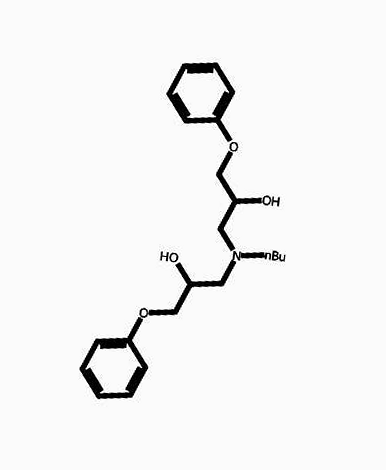 CCCCN(CC(O)COc1ccccc1)CC(O)COc1ccccc1